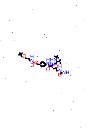 CC(C)C(NC(C)(C)C)C(=O)N[C@@H](CCCNC(N)=O)C(=O)Nc1ccc(COC(=O)NCCCOCC(C)(C)C)cc1